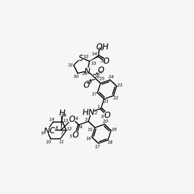 O=C(NC(C(=O)O[C@H]1CN2CCC1CC2)c1ccccc1)c1cccc(S(=O)(=O)N2CCS[C@H]2C(=O)O)c1